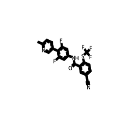 Cc1ccc(-c2c(F)cc(NC(=O)c3cc(C#N)ccc3SC(F)(F)F)cc2F)cn1